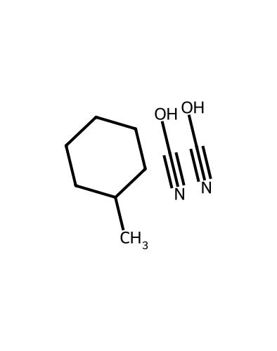 CC1CCCCC1.N#CO.N#CO